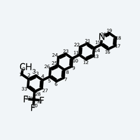 CCc1cc(-c2ccc3cc(-c4ccc(-c5ccccn5)cc4)ccc3c2)cc(C(F)(F)F)c1